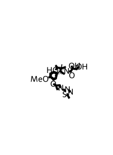 COc1ccc([C@@H]2CN(C(=O)C(O)CO)C[C@@]2(C)C(C)O)cc1OC1CN(c2nnc(C)s2)C1